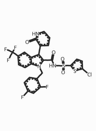 O=C(NS(=O)(=O)c1ccc(Cl)s1)c1c(-c2ccc[nH]c2=O)c2cc(C(F)(F)F)ccc2n1Cc1ccc(F)cc1F